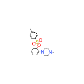 Cc1ccc(S(=O)(=O)Oc2ccccc2N2CCN(C)CC2)cc1